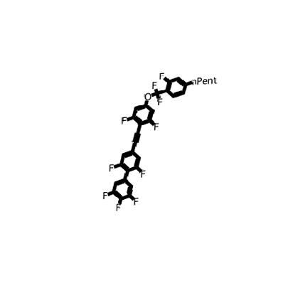 CCCCCc1ccc(C(F)(F)Oc2cc(F)c(C#Cc3cc(F)c(-c4cc(F)c(F)c(F)c4)c(F)c3)c(F)c2)c(F)c1